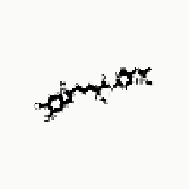 CNC(C)=Nc1cnc(NC(=O)C(=CC=Cc2cc3cc(Cl)c(Cl)cc3[nH]2)OC)nc1